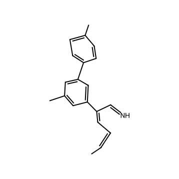 C/C=C\C=C(/C=N)c1cc(C)cc(-c2ccc(C)cc2)c1